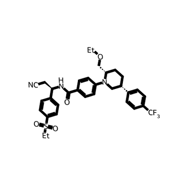 CCOC[C@@H]1CC[C@H](c2ccc(C(F)(F)F)cc2)CN1c1ccc(C(=O)N[C@H](CC#N)c2ccc(S(=O)(=O)CC)cc2)cc1